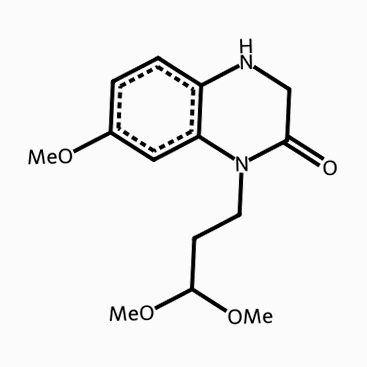 COc1ccc2c(c1)N(CCC(OC)OC)C(=O)CN2